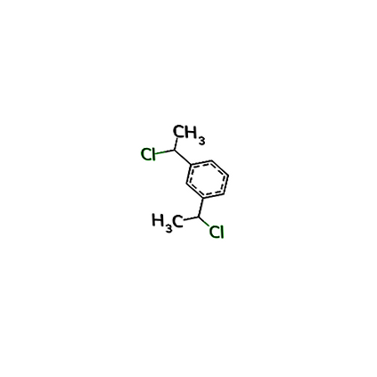 CC(Cl)c1cccc(C(C)Cl)c1